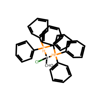 O=[CH][Ir]([Cl])([PH](c1ccccc1)(c1ccccc1)c1ccccc1)[PH](c1ccccc1)(c1ccccc1)c1ccccc1